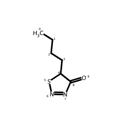 CCCCC1SN=NC1=O